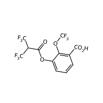 O=C(O)c1cccc(OC(=O)C(C(F)(F)F)C(F)(F)F)c1OC(F)(F)F